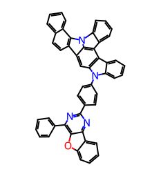 c1ccc(-c2nc(-c3ccc(-n4c5ccccc5c5c6c7ccccc7n7c8c9ccccc9ccc8c(cc54)c67)cc3)nc3c2oc2ccccc23)cc1